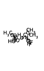 CCOC(=O)CS(=O)(=O)c1cc(-c2ccc(CN(Cc3ccc(C(F)(F)F)o3)Cc3c(C)cc(C)cc3C)cc2)ccc1CO